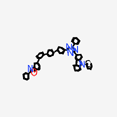 c1ccc(-c2nc(-c3ccc(-c4ccc(-c5cccc(-c6ccc7oc(-c8ccccc8)nc7c6)c5)cc4)cc3)nc(-c3ccc4c(c3)c3ccccc3n4-c3ccccc3)n2)cc1